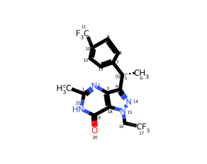 Cc1nc2c([C@@H](C)c3ccc(C(F)(F)F)cc3)nn(CC(F)(F)F)c2c(=O)[nH]1